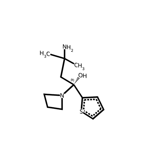 CC(C)(N)C[C@@](O)(c1cccs1)N1CCC1